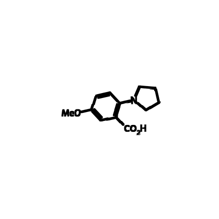 COc1ccc(N2CCCC2)c(C(=O)O)c1